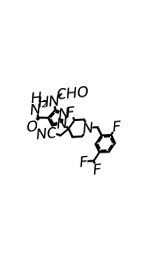 N#CCC1(n2cc(C(N)=O)c(NC=O)n2)CCN(Cc2cc(C(F)F)ccc2F)CC1F